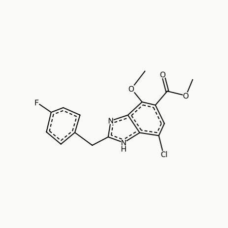 COC(=O)c1cc(Cl)c2[nH]c(Cc3ccc(F)cc3)nc2c1OC